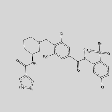 CCS(=O)(=O)c1ccc(Cl)cc1N(C)C(=O)c1cc(Cl)c(CN2CCC[C@H](NC(=O)c3cn[nH]c3)C2)c(C(F)(F)F)c1